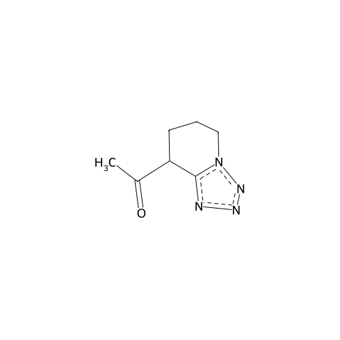 CC(=O)C1CCCn2nnnc21